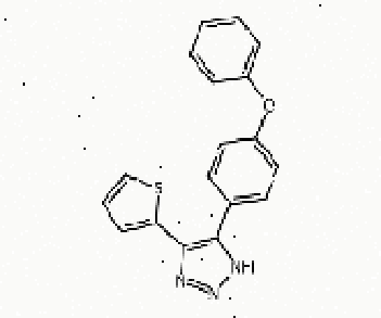 c1ccc(Oc2ccc(-c3[nH]nnc3-c3cccs3)cc2)cc1